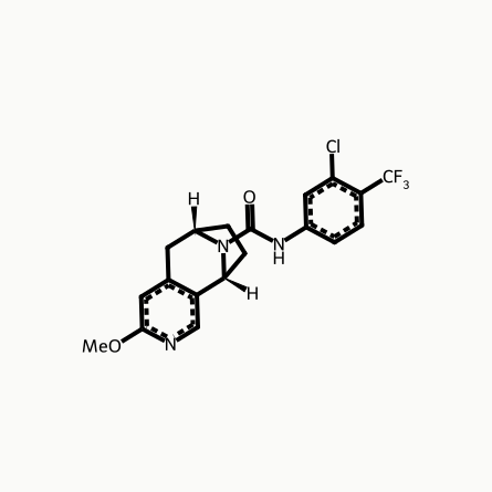 COc1cc2c(cn1)[C@H]1CC[C@@H](C2)N1C(=O)Nc1ccc(C(F)(F)F)c(Cl)c1